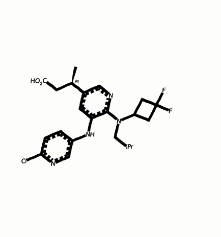 CC(C)CN(c1ncc([C@H](C)CC(=O)O)cc1Nc1ccc(Cl)nc1)C1CC(F)(F)C1